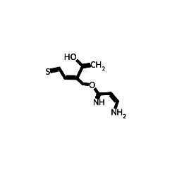 C=C(O)/C(=C\C=S)COC(=N)/C=C\N